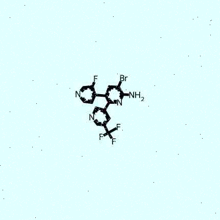 Nc1nc(-c2cncc(C(F)(F)F)c2)c(-c2ccncc2F)cc1Br